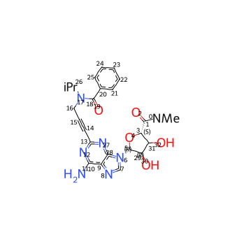 CNC(=O)[C@H]1O[C@@H](n2cnc3c(N)nc(C#CCN(C(=O)c4ccccc4)C(C)C)nc32)[C@H](O)C1O